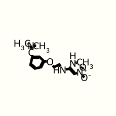 CNC(=C[N+](=O)[O-])NCCOc1cccc(CN(C)C)c1